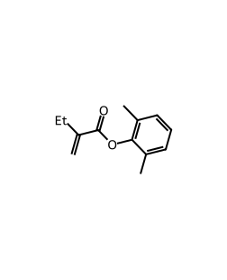 C=C(CC)C(=O)Oc1c(C)cccc1C